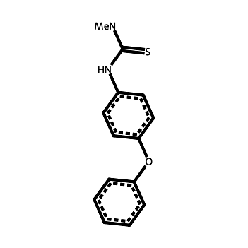 CNC(=S)Nc1ccc(Oc2ccccc2)cc1